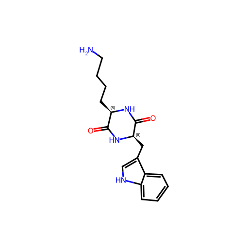 NCCCC[C@H]1NC(=O)[C@@H](Cc2c[nH]c3ccccc23)NC1=O